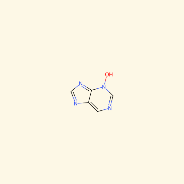 On1cncc2ncnc1-2